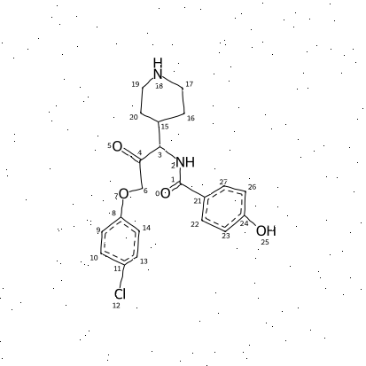 O=C(NC(C(=O)COc1ccc(Cl)cc1)C1CCNCC1)c1ccc(O)cc1